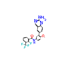 COc1ccc(NC(=O)c2cccc(C(F)(F)F)c2F)cc1-c1ccc2nc(N)ncc2c1